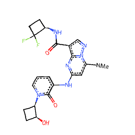 CNc1cc(Nc2cccn([C@@H]3CC[C@@H]3O)c2=O)nc2c(C(=O)N[C@@H]3CCC3(F)F)cnn12